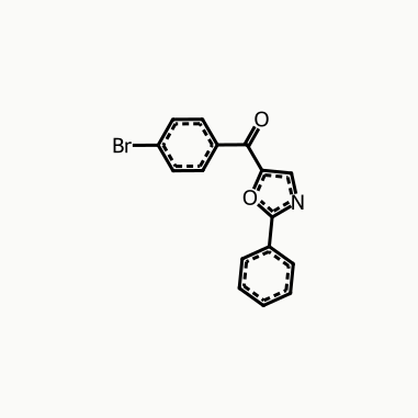 O=C(c1ccc(Br)cc1)c1cnc(-c2ccccc2)o1